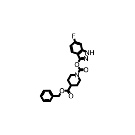 O=C(OCc1ccccc1)C1CCN(C(=O)Oc2n[nH]c3cc(F)ccc23)CC1